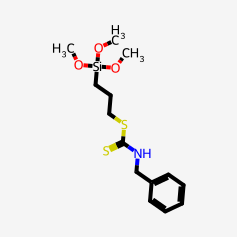 CO[Si](CCCSC(=S)NCc1ccccc1)(OC)OC